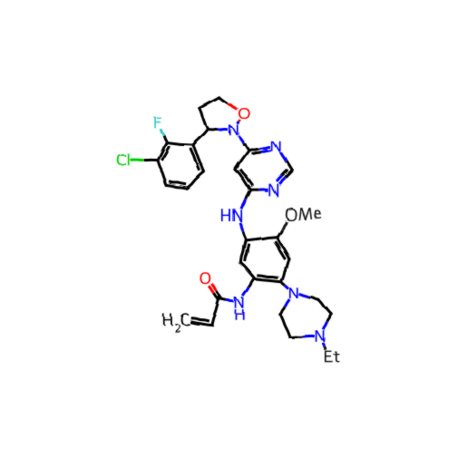 C=CC(=O)Nc1cc(Nc2cc(N3OCCC3c3cccc(Cl)c3F)ncn2)c(OC)cc1N1CCN(CC)CC1